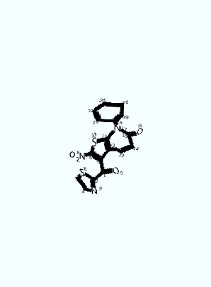 O=C(c1nccs1)c1c([N+](=O)[O-])sc2c1ccc(=O)n2-c1ccccc1